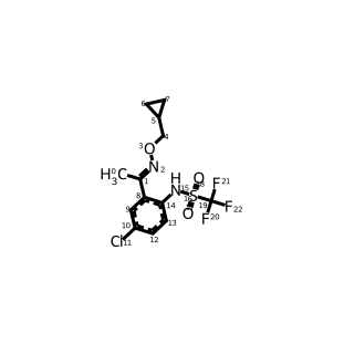 C/C(=N\OCC1CC1)c1cc(Cl)ccc1NS(=O)(=O)C(F)(F)F